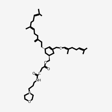 C=C(CC/C=C(\C)CCC=C(C)C)CC[C@@H]1C=C(CC/C=C(\C)CCC=C(C)C)C[C@@H](COC(=O)CCC(=O)NCCCN2CCOCC2)C1